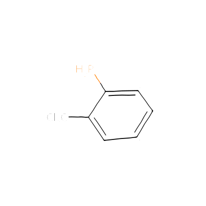 Pc1ccccc1C(Cl)(Cl)Cl